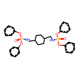 O=P(NCC1CCC(CNP(=O)(Oc2ccccc2)Oc2ccccc2)CC1)(Oc1ccccc1)Oc1ccccc1